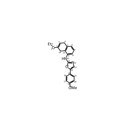 CCOC1=CCc2cccc(Nc3ncc(-c4ccc(OC)cc4)o3)c2C1